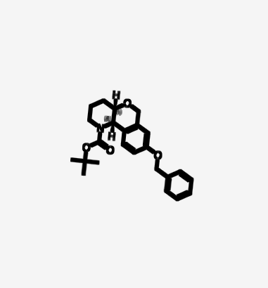 CC(C)(C)OC(=O)N1CCC[C@@H]2OCc3cc(OCc4ccccc4)ccc3[C@@H]21